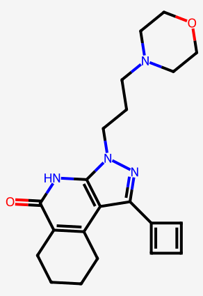 O=c1[nH]c2c(c(C3=CC=C3)nn2CCCN2CCOCC2)c2c1CCCC2